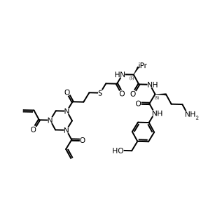 C=CC(=O)N1CN(C(=O)C=C)CN(C(=O)CCSCC(=O)N[C@H](C(=O)N[C@@H](CCCN)C(=O)Nc2ccc(CO)cc2)C(C)C)C1